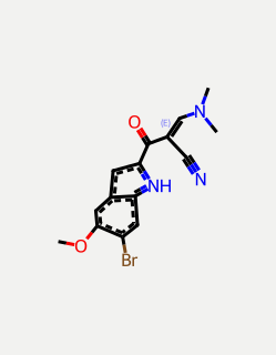 COc1cc2cc(C(=O)/C(C#N)=C/N(C)C)[nH]c2cc1Br